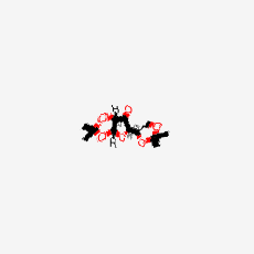 CC1(C)OC[C@@H]([C@H]2O[C@@H]3OC(C)(C)O[C@@H]3C2=O)O1